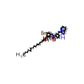 CCCCCCCCCCCCCCCCOc1cccc(CN(C(C)=O)c2cccc(Cc3[nH]cc4cccc[n+]34)c2)c1.[Br-]